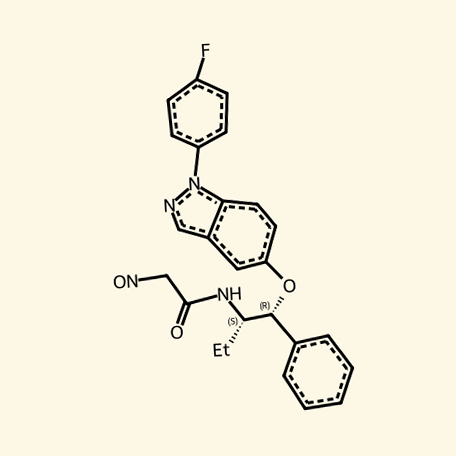 CC[C@H](NC(=O)CN=O)[C@H](Oc1ccc2c(cnn2-c2ccc(F)cc2)c1)c1ccccc1